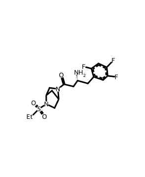 CCS(=O)(=O)N1CC2CC1CN2C(=O)C[C@H](N)Cc1cc(F)c(F)cc1F